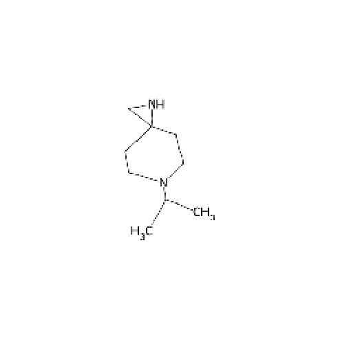 CC(C)N1CCC2(CC1)CN2